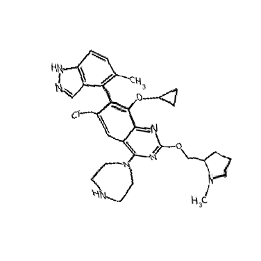 Cc1ccc2[nH]ncc2c1-c1c(Cl)cc2c(N3CCNCC3)nc(OCC3CCCN3C)nc2c1OC1CC1